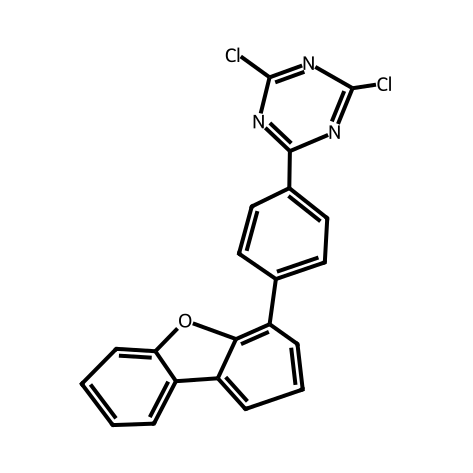 Clc1nc(Cl)nc(-c2ccc(-c3cccc4c3oc3ccccc34)cc2)n1